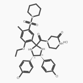 CCOc1cc(C)c(S(=O)(=O)N2CCCCC2)cc1C1(C(=O)N2CCNC(=O)C2)N[C@H](c2ccc(Cl)cc2)[C@H](c2ccc(Cl)cc2)N1.Cl